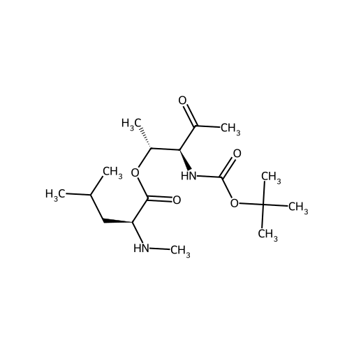 CN[C@@H](CC(C)C)C(=O)O[C@H](C)[C@H](NC(=O)OC(C)(C)C)C(C)=O